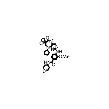 COc1cc(C(=O)NC2CCN(C)CC2)ccc1Nc1ncc2c(n1)N(C1CCCC1)CC(Cl)(Cl)C(=O)N2C